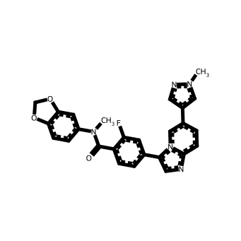 CN(C(=O)c1ccc(-c2cnc3ccc(-c4cnn(C)c4)cn23)cc1F)c1ccc2c(c1)OCO2